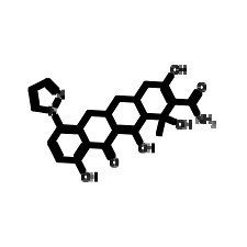 CC1(O)C(C(N)=O)=C(O)CC2CC3Cc4c(-n5cccn5)ccc(O)c4C(=O)C3=C(O)C21